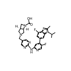 Cc1nc2c(F)cc(-c3cc(Nc4ncc(CN5C[C@H]6CN(C(=O)O)[C@H]6C5)cn4)ncc3F)cc2n1C(C)C